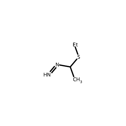 CCSC(C)N=N